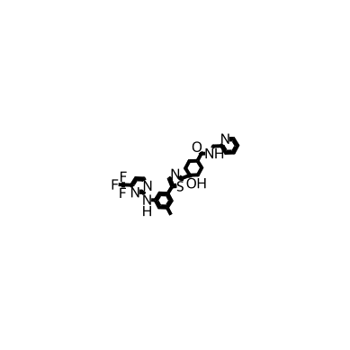 Cc1cc(Nc2nccc(C(F)(F)F)n2)cc(-c2cnc(C3(O)CCC(C(=O)NCc4ccccn4)CC3)s2)c1